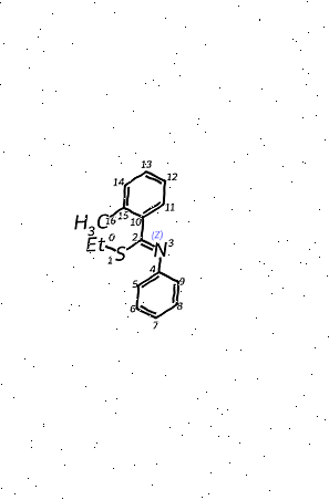 CCS/C(=N\c1ccccc1)c1ccccc1C